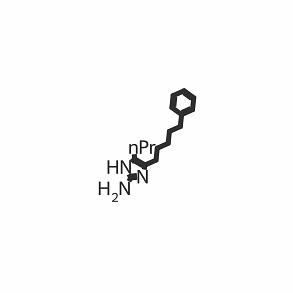 CCCc1[nH]c(N)nc1CCCCCc1ccccc1